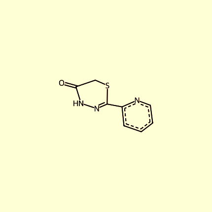 O=C1CSC(c2ccccn2)=NN1